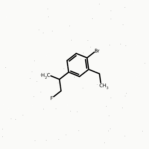 [CH2]C(CF)c1ccc(Br)c(CC)c1